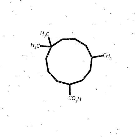 CC1CCCC(C)(C)CCCC(C(=O)O)CC1